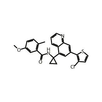 COc1ccc(C)c(C(=O)NC2(c3cc(-c4sccc4Cl)cc4ncccc34)CC2)c1